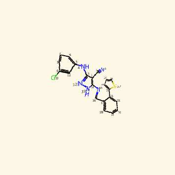 N#Cc1c(Nc2cccc(Cl)c2)n[nH]c1/N=C/c1ccccc1-c1cccs1